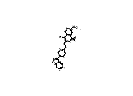 COc1cc2c(cn1)C(=O)N(CCN1CCN(c3noc4ccccc34)CC1)CC21CC1